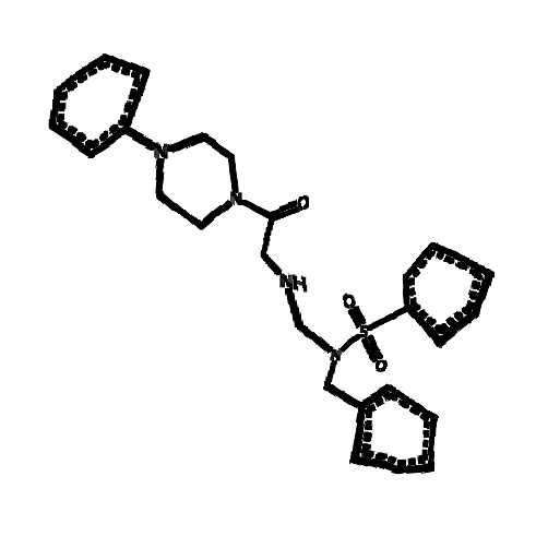 O=C(CNCN(Cc1ccccc1)S(=O)(=O)c1ccccc1)N1CCN(c2ccccc2)CC1